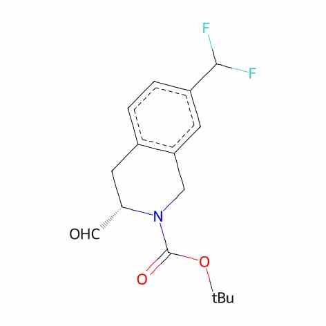 CC(C)(C)OC(=O)N1Cc2cc(C(F)F)ccc2C[C@H]1C=O